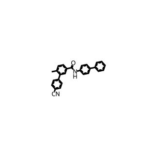 Cc1ccc(C(=O)Nc2ccc(-c3ccccc3)cc2)cc1-c1ccc(C#N)cc1